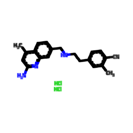 Cc1cc(CCNCc2ccc3c(C)cc(N)nc3c2)ccc1C#N.Cl.Cl